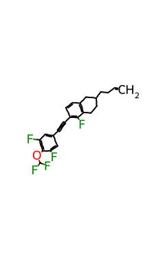 C=CCCC1CCc2c(ccc(C#Cc3cc(F)c(OC(F)F)c(F)c3)c2F)C1